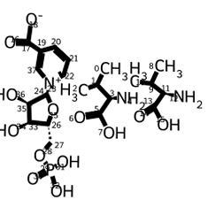 CC(C)[C@@H](N)C(=O)O.CC(C)[C@@H](N)C(=O)O.O=C([O-])c1ccc[n+]([C@@H]2O[C@H](COP(=O)(O)O)[C@@H](O)[C@H]2O)c1